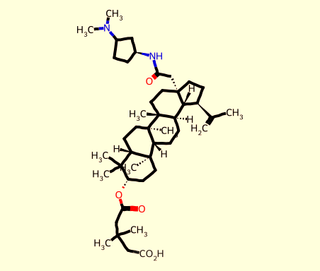 C=C(C)[C@@H]1CC[C@]2(CC(=O)N[C@H]3CCC(N(C)C)C3)CC[C@]3(C)[C@H](CC[C@@H]4[C@@]5(C)CC[C@H](OC(=O)CC(C)(C)CC(=O)O)C(C)(C)[C@@H]5CC[C@]43C)[C@@H]12